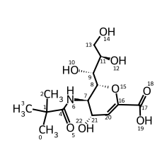 CC(C)(C)C(=O)N[C@H]1[C@H]([C@H](O)[C@H](O)CO)OC(C(=O)O)=C[C@@H]1O